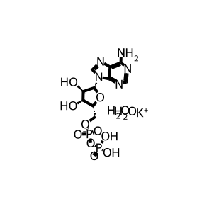 Nc1ncnc2c1ncn2[C@@H]1O[C@H](COP(=O)([O-])OP(=O)(O)O)[C@@H](O)[C@H]1O.O.O.[K+]